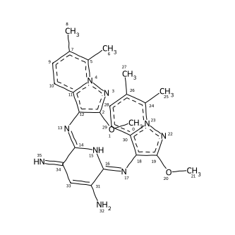 COc1nn2c(C)c(C)ccc2c1/N=C1\N/C(=N\c2c(OC)nn3c(C)c(C)ccc23)C(N)=CC1=N